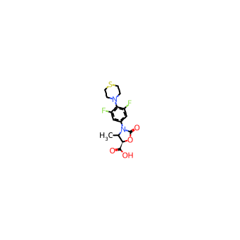 CC1[C@H](C(=O)O)OC(=O)N1c1cc(F)c(N2CCSCC2)c(F)c1